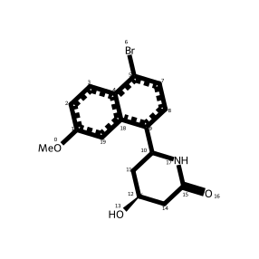 COc1ccc2c(Br)ccc(C3C[C@H](O)CC(=O)N3)c2c1